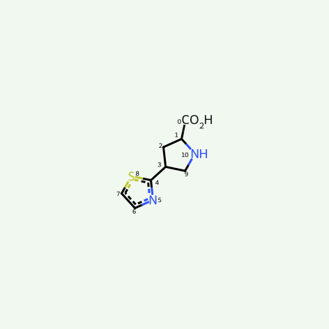 O=C(O)C1CC(c2nccs2)CN1